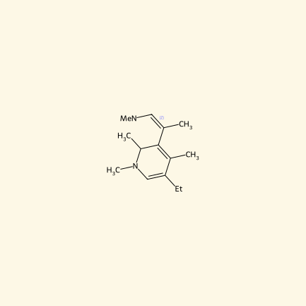 CCC1=CN(C)C(C)C(/C(C)=C\NC)=C1C